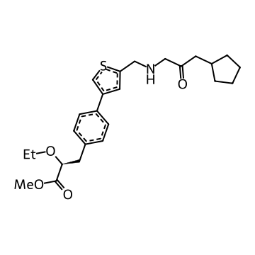 CCO[C@@H](Cc1ccc(-c2csc(CNCC(=O)CC3CCCC3)c2)cc1)C(=O)OC